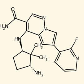 CC1(C)[C@H](N)CC[C@H]1Nc1c(C(N)=O)cnn2cc(-c3cccnc3F)cc12